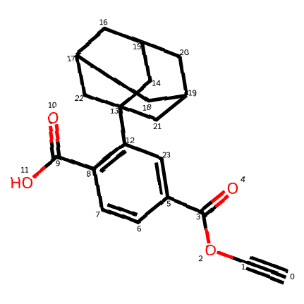 C#COC(=O)c1ccc(C(=O)O)c(C23CC4CC(CC(C4)C2)C3)c1